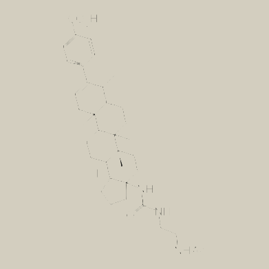 CC(=O)NCCNC(=O)NC12CCCC1[C@H]1CCC3C4(C)CC=C(c5ccc(C(=O)O)cc5)C(C)C4CCC3(C)[C@]1(C)CC2